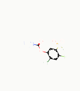 NC(=O)Oc1cc(S(=O)(=O)Cl)c(F)cc1Cl